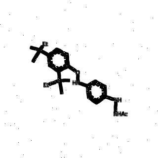 CCC(C)(C)c1ccc(ONc2ccc(NNC(C)=O)cc2)c(C(C)(C)CC)c1